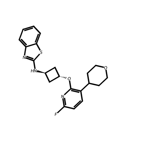 Fc1ccc(C2CCOCC2)c(O[C@H]2C[C@H](Nc3nc4ccccc4s3)C2)n1